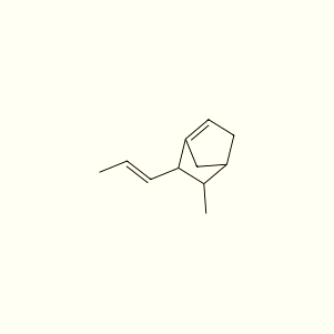 CC=CC1C2=CCC(C2)C1C